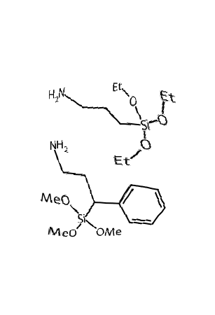 CCO[Si](CCCN)(OCC)OCC.CO[Si](OC)(OC)C(CCN)c1ccccc1